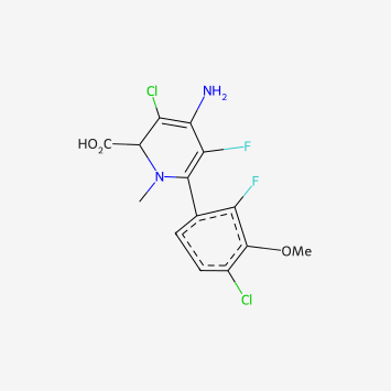 COc1c(Cl)ccc(C2=C(F)C(N)=C(Cl)C(C(=O)O)N2C)c1F